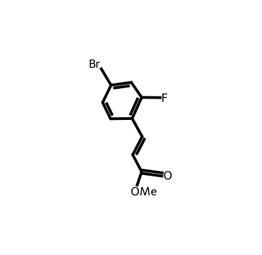 COC(=O)/C=C/c1ccc(Br)cc1F